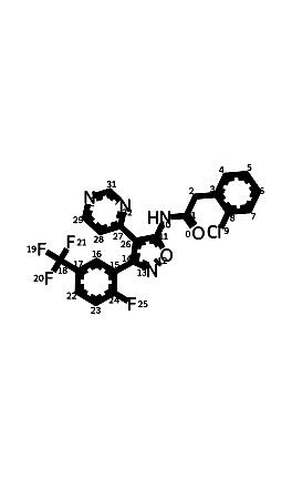 O=C(Cc1ccccc1Cl)Nc1onc(-c2cc(C(F)(F)F)ccc2F)c1-c1ccncn1